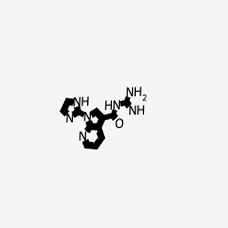 N=C(N)NC(=O)c1cn(-c2ncc[nH]2)c2ncccc12